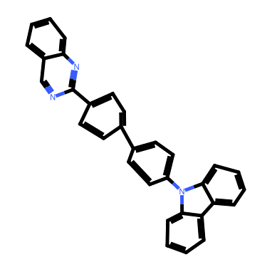 c1ccc2nc(-c3ccc(-c4ccc(-n5c6ccccc6c6ccccc65)cc4)cc3)ncc2c1